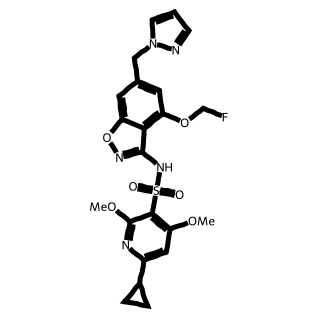 COc1cc(C2CC2)nc(OC)c1S(=O)(=O)Nc1noc2cc(Cn3cccn3)cc(OCF)c12